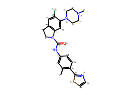 Cc1cc(NC(=O)N2CCc3cc(Br)c(N4CCN(C)CC4)cc32)ccc1-c1nccs1